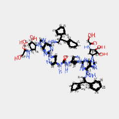 O=C(CO)NC1CC(n2cnc3c(NCC(c4ccccc4)c4ccccc4)nc(-n4cc(NC(=O)Nc5cnn(-c6nc(NCC(c7ccccc7)c7ccccc7)c7ncn([C@H]8C[C@@H](NC(=O)CO)[C@H](O)[C@@H]8O)c7n6)c5)cn4)nc32)C(O)C1O